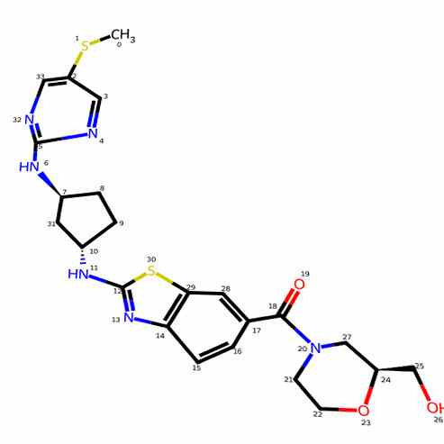 CSc1cnc(N[C@H]2CC[C@H](Nc3nc4ccc(C(=O)N5CCO[C@H](CO)C5)cc4s3)C2)nc1